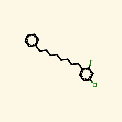 Fc1cc(Cl)ccc1CCCCCCCCc1ccccc1